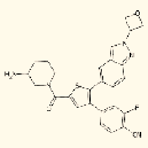 N#Cc1ccc(-c2cc(C(=O)N3CCCC(N)C3)sc2-c2ccc3nn(C4COC4)cc3c2)cc1F